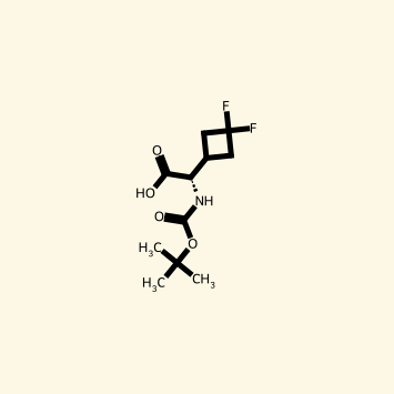 CC(C)(C)OC(=O)N[C@H](C(=O)O)C1CC(F)(F)C1